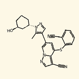 Cc1c(-c2cc(Sc3ccccc3C#N)c3c(C#N)cnn3c2)cnn1[C@H]1CCC[C@H](O)C1